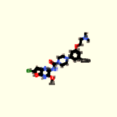 CCOc1nc2oc(Cl)cc2nc1NC(=O)N1CCN(c2cc(OC)cc(OCCN(C)C)c2)CC1